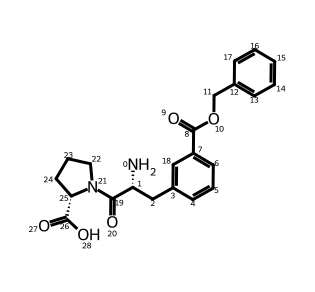 N[C@H](Cc1cccc(C(=O)OCc2ccccc2)c1)C(=O)N1CCC[C@H]1C(=O)O